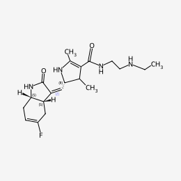 CCNCCNC(=O)C1=C(C)N[C@@H](/C=C2\C(=O)N[C@H]3CC=C(F)C[C@@H]23)C1C